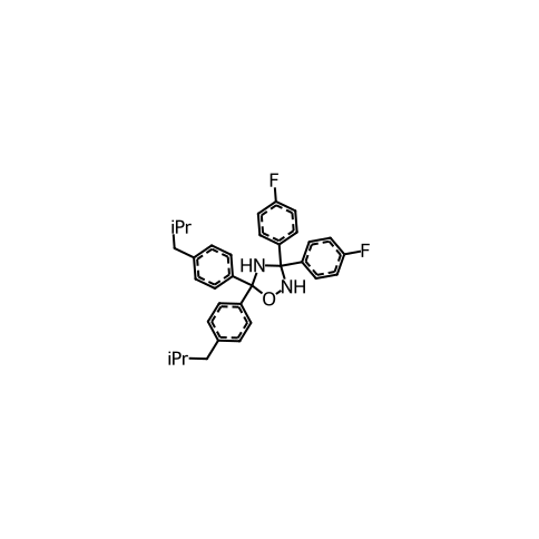 CC(C)Cc1ccc(C2(c3ccc(CC(C)C)cc3)NC(c3ccc(F)cc3)(c3ccc(F)cc3)NO2)cc1